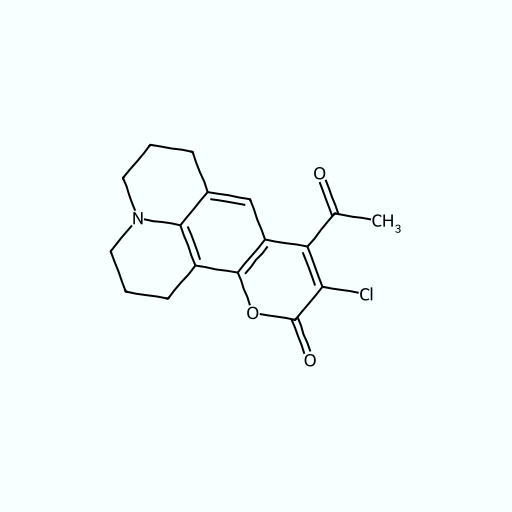 CC(=O)c1c(Cl)c(=O)oc2c3c4c(cc12)CCCN4CCC3